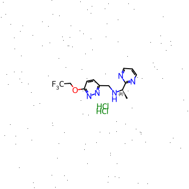 C[C@@H](NCc1ccc(OCC(F)(F)F)nn1)c1ncccn1.Cl.Cl